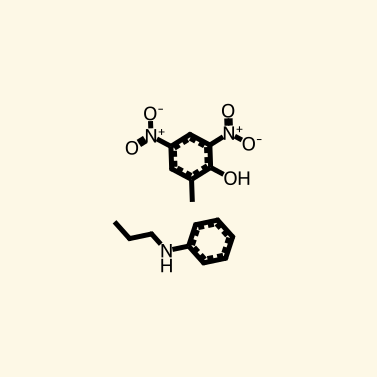 CCCNc1ccccc1.Cc1cc([N+](=O)[O-])cc([N+](=O)[O-])c1O